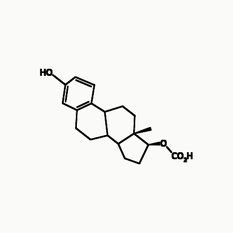 C[C@]12CCC3c4ccc(O)cc4CCC3C1CC[C@@H]2OC(=O)O